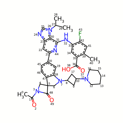 CC(=O)N1CC2(CN(C3CC(N4CCCCC4)C3)c3cc(-c4cc5ncn(C(C)C)c5c(Nc5cc(C(=O)O)c(C)cc5F)n4)ccc32)C1=O